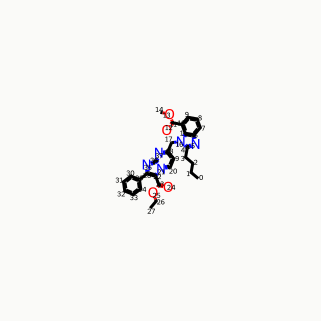 CCCCc1nc2cccc(C(=O)OC)c2n1Cc1ccn2c(C(=O)OCC)c(-c3ccccc3)nc2n1